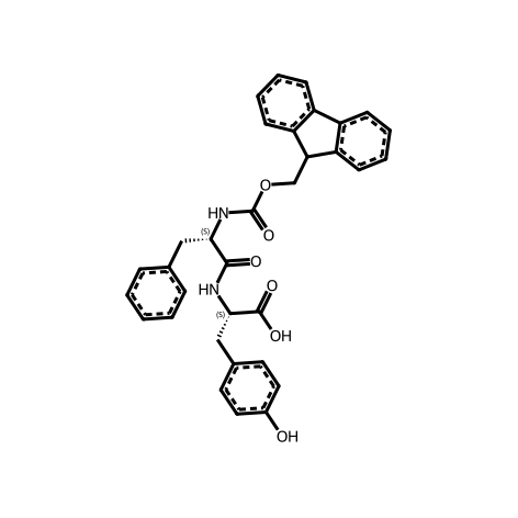 O=C(N[C@@H](Cc1ccccc1)C(=O)N[C@@H](Cc1ccc(O)cc1)C(=O)O)OCC1c2ccccc2-c2ccccc21